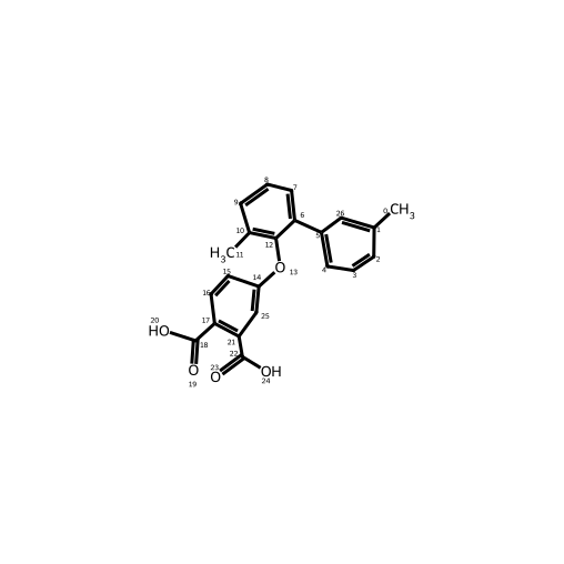 Cc1cccc(-c2cccc(C)c2Oc2ccc(C(=O)O)c(C(=O)O)c2)c1